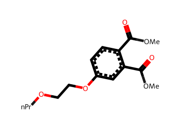 CCCOCCOc1ccc(C(=O)OC)c(C(=O)OC)c1